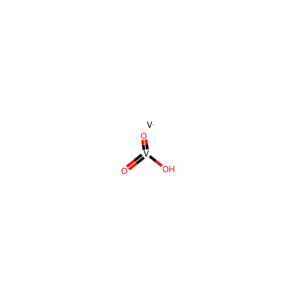 [O]=[V](=[O])[OH].[V]